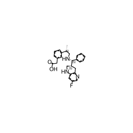 C[C@H](CN[C@H](c1ccccc1)[C@@H]1CNc2cc(F)cnc2C1)c1cccc(CC(=O)O)c1